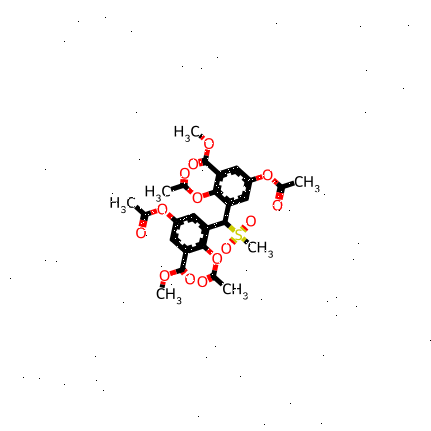 COC(=O)c1cc(OC(C)=O)cc(C(c2cc(OC(C)=O)cc(C(=O)OC)c2OC(C)=O)S(C)(=O)=O)c1OC(C)=O